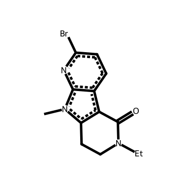 CCN1CCc2c(c3ccc(Br)nc3n2C)C1=O